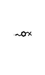 [CH]=CCc1ccc(CC(C)(C)C)cc1